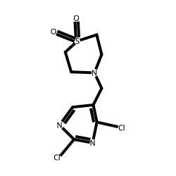 O=S1(=O)CCN(Cc2cnc(Cl)nc2Cl)CC1